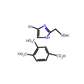 CCCCCCCCCCCc1nc(CC)c[nH]1.O=C(O)c1ccc(C(=O)O)c(C(=O)O)c1